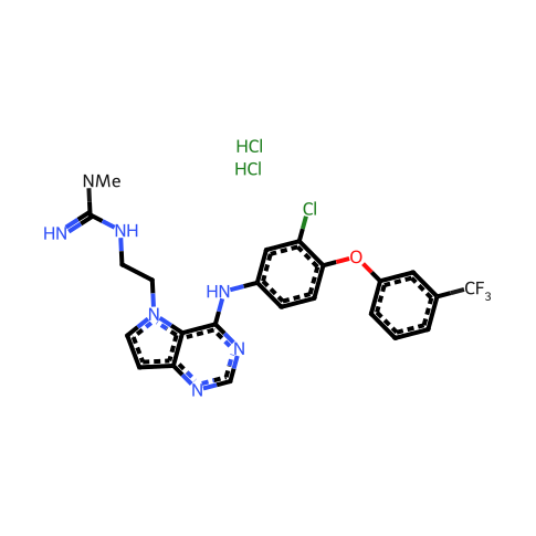 CNC(=N)NCCn1ccc2ncnc(Nc3ccc(Oc4cccc(C(F)(F)F)c4)c(Cl)c3)c21.Cl.Cl